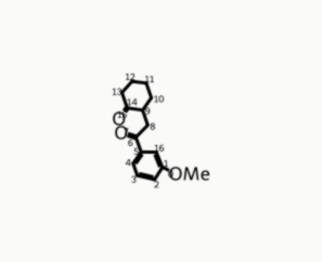 COc1cccc(C(=O)CC2CCCCC2=O)c1